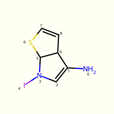 NC1=CN(I)C2SC=CC12